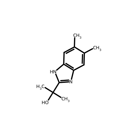 Cc1cc2nc(C(C)(C)O)[nH]c2cc1C